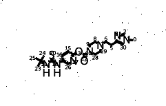 Cn1cnc(CCN2CCN(C(=O)Oc3ccc(NC(=S)NC(C)(C)C)cn3)CC2)c1